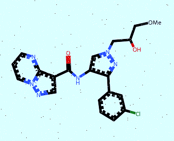 COCC(O)Cn1cc(NC(=O)c2cnn3cccnc23)c(-c2cccc(Cl)c2)n1